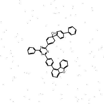 CC1(c2ccc(-c3ccccc3)cc2)C=CC(c2nc(-c3ccccc3)nc(-c3ccc(-c4cccc5oc6ccccc6c45)cc3)n2)=CC1